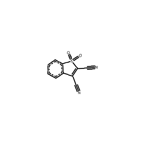 N#CC1=C(C#N)S(=O)(=O)c2ccccc21